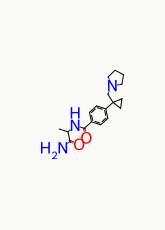 CC(NC(=O)c1ccc(C2(CN3CCCC3)CC2)cc1)C(N)=O